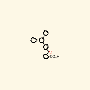 O=C(O)c1ccccc1C(=O)c1ccc(-c2cc(-c3ccccc3)cc(-c3ccccc3)c2)cc1